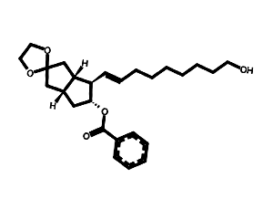 O=C(O[C@@H]1C[C@@H]2CC3(C[C@@H]2[C@H]1/C=C/CCCCCCCO)OCCO3)c1ccccc1